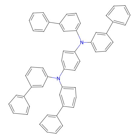 c1ccc(-c2cccc(N(c3ccc(N(c4cccc(-c5ccccc5)c4)c4cccc(-c5ccccc5)c4)cc3)c3cccc(-c4ccccc4)c3)c2)cc1